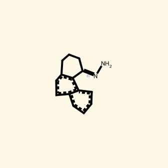 N/N=C1\CCCc2ccc3ccccc3c21